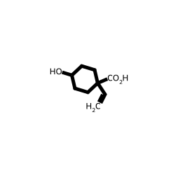 C=CC1(C(=O)O)CCC(O)CC1